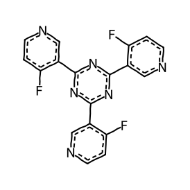 Fc1ccncc1-c1nc(-c2cnccc2F)nc(-c2cnccc2F)n1